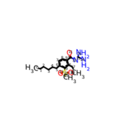 CCCCCCc1ccc(C(=O)N=C(N)N)c(CC)c1S(C)(=O)=O